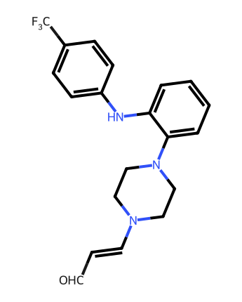 O=CC=CN1CCN(c2ccccc2Nc2ccc(C(F)(F)F)cc2)CC1